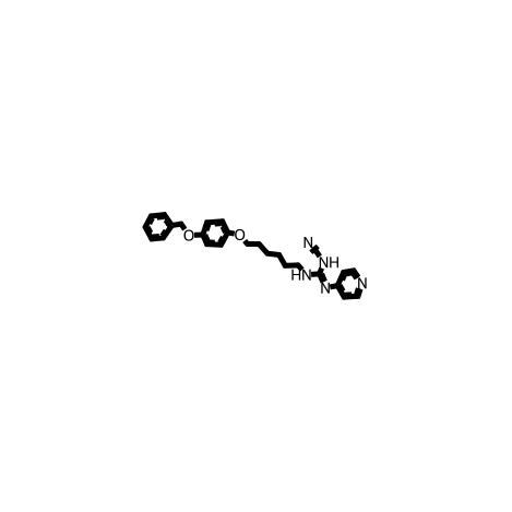 N#CNC(=Nc1ccncc1)NCCCCCCOc1ccc(OCc2ccccc2)cc1